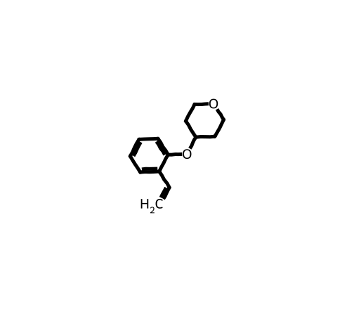 C=Cc1ccccc1OC1CCOCC1